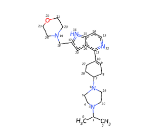 CC(C)N1CCN(C2CC=C(c3nccc4[nH]c(CN5CCOCC5)cc34)CC2)CC1